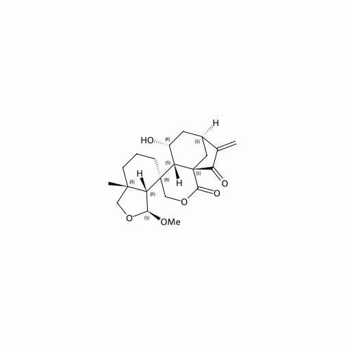 C=C1C(=O)[C@]23C[C@H]1C[C@@H](O)[C@H]2[C@@]1(CCC[C@@]2(C)CO[C@H](OC)[C@H]21)COC3=O